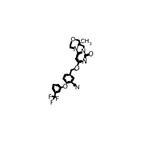 C[C@@]12COCCN1c1cc(OCc3ccc(Oc4cccc(C(F)(F)F)c4)c(C#N)c3)nc(=O)n1C2